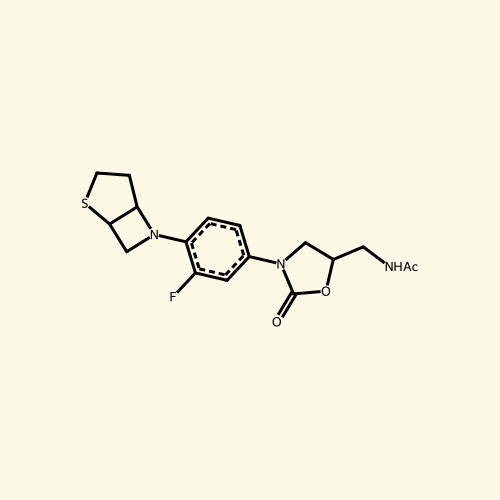 CC(=O)NCC1CN(c2ccc(N3CC4SCCC43)c(F)c2)C(=O)O1